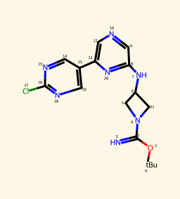 CC(C)(C)OC(=N)N1CC(Nc2cncc(-c3cnc(Cl)nc3)n2)C1